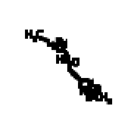 CCCCn1cc(CNC(=O)CC#Cc2cnc(S(C)(=O)=O)nc2)nn1